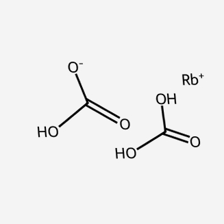 O=C(O)O.O=C([O-])O.[Rb+]